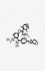 Cc1cnnc(C)c1[C@@H](N)Oc1ccc(N)c(C(=N)c2ccc(N3CC4(CCOC4)C3)nc2)c1